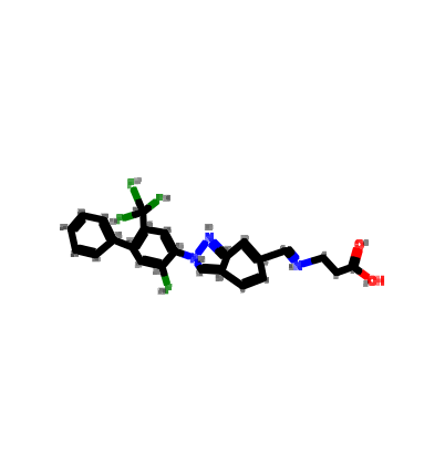 O=C(O)CCN=Cc1ccc2cn(-c3cc(C(F)(F)F)c(-c4ccccc4)cc3F)nc2c1